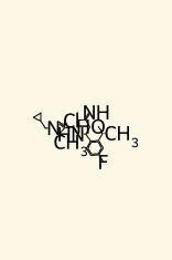 CC1=[N+](CC2CC2)C=C1CNC(CC(=N)Cl)c1ccc(F)cc1[C@@H](C)O